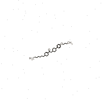 CCCCCCCC1CC=C(C(=O)CC2CCC(c3ccc(OCCCC)cc3)CC2)CC1